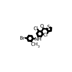 Cc1cc(Br)ccc1Nc1ccc(C(=O)c2sccc2Cl)c(Cl)c1